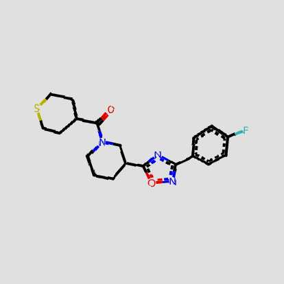 O=C(C1CCSCC1)N1CCCC(c2nc(-c3ccc(F)cc3)no2)C1